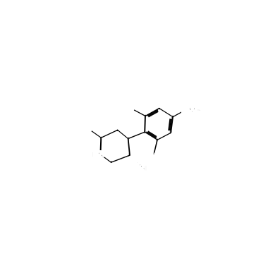 COc1cc(F)c(C2CC(O)NC[C@H]2N)c(F)c1